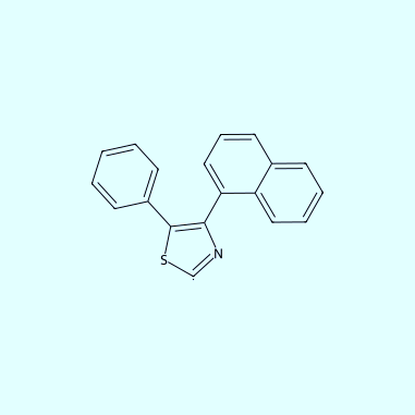 [c]1nc(-c2cccc3ccccc23)c(-c2ccccc2)s1